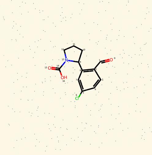 O=Cc1ccc(Cl)cc1C1CCCN1C(=O)O